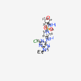 CCn1cnc2c(N[C@H]3CCN(S(=O)(=O)N[C@@H]4CCOC4)C3)nc(Cl)nc21